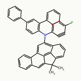 CC1(C)c2cccc3c(N(c4c#cc(F)cc4)c4ccc(-c5ccccc5)cc4C4=CC=CCC4)cc4c5ccccc5cc1c4c23